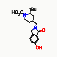 CC(C)(C)C1CC(CN2Cc3ccc(O)cc3C2=O)CCN1C(=O)O